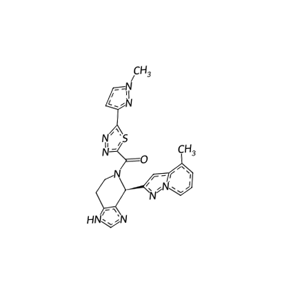 Cc1cccn2nc([C@H]3c4nc[nH]c4CCN3C(=O)c3nnc(-c4ccn(C)n4)s3)cc12